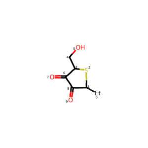 CCC1SC(CO)C(=O)C1=O